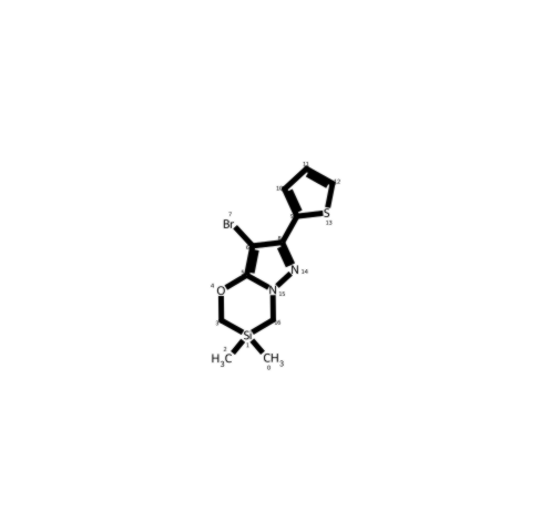 C[Si]1(C)COc2c(Br)c(-c3cccs3)nn2C1